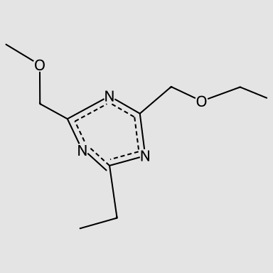 CCOCc1nc(CC)nc(COC)n1